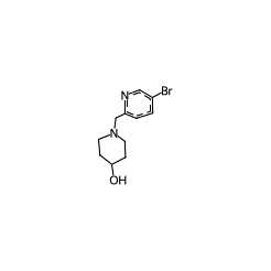 OC1CCN(Cc2ccc(Br)cn2)CC1